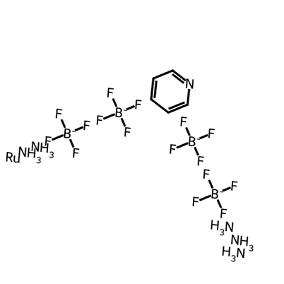 F[B-](F)(F)F.F[B-](F)(F)F.F[B-](F)(F)F.F[B-](F)(F)F.N.N.N.N.N.[Ru].c1ccncc1